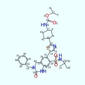 CC(C)OC(=O)NC1CCC(c2ncc(-c3cc4c(cc3S(=O)(=O)NC(C)(C)C)NC(=O)N(Cc3ccccc3)C4)s2)CC1